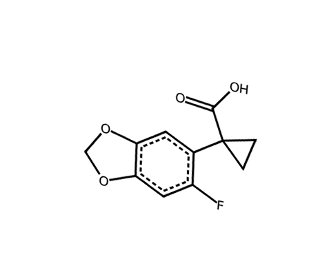 O=C(O)C1(c2cc3c(cc2F)OCO3)CC1